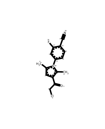 Cc1cc(C(=O)CCl)c(C)n1-c1ccc(C#N)c(F)c1